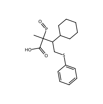 CC(P=O)(C(=O)O)C(CSc1ccccc1)C1CCCCC1